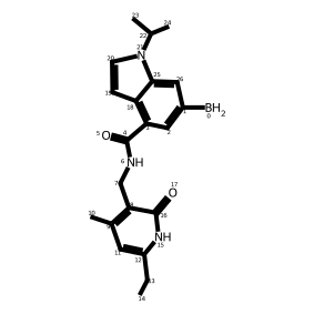 Bc1cc(C(=O)NCc2c(C)cc(CC)[nH]c2=O)c2ccn(C(C)C)c2c1